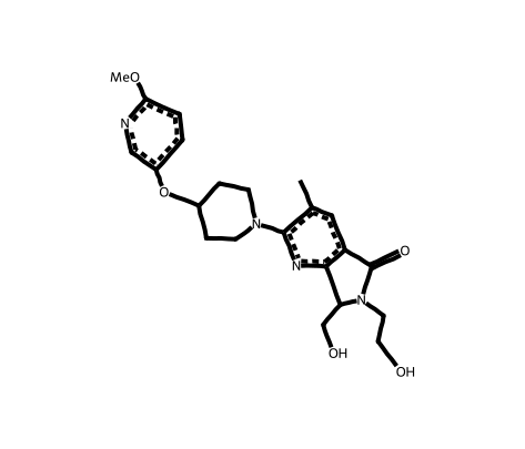 COc1ccc(OC2CCN(c3nc4c(cc3C)C(=O)N(CCO)C4CO)CC2)cn1